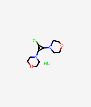 Cl.ClC1=C(N2CCOCC2)C1N1CCOCC1